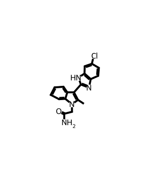 Cc1c(-c2nc3ccc(Cl)cc3[nH]2)c2ccccc2n1CC(N)=O